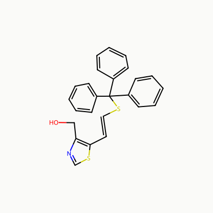 OCc1ncsc1/C=C/SC(c1ccccc1)(c1ccccc1)c1ccccc1